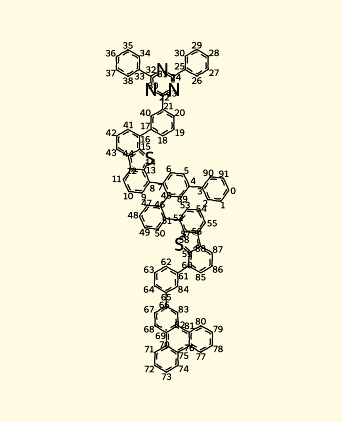 c1ccc(-c2ccc(-c3cccc4c3sc3c(-c5cccc(-c6nc(-c7ccccc7)nc(-c7ccccc7)n6)c5)cccc34)c(-c3ccccc3-c3cccc4c3sc3c(-c5cccc(-c6ccc7c8ccccc8c8ccccc8c7c6)c5)cccc34)c2)cc1